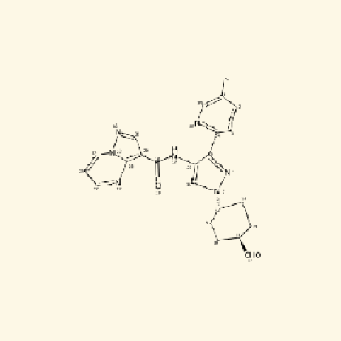 Cc1ccc(-c2nn([C@H]3CC[C@H](C=O)CC3)cc2NC(=O)c2cnn3cccnc23)nc1